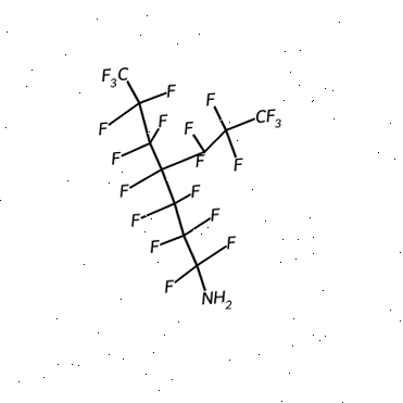 NC(F)(F)C(F)(F)C(F)(F)C(F)(C(F)(F)C(F)(F)C(F)(F)F)C(F)(F)C(F)(F)C(F)(F)F